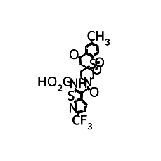 Cc1ccc2c(c1)C(=O)CC1(CCN(C(=O)c3c(NC(=O)O)sc4nc(C(F)(F)F)ccc34)CC1)S2(=O)=O